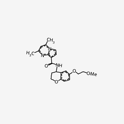 COCCOc1ccc2c(c1)C(NC(=O)c1ccn3c(C)cc(C)nc13)CCO2